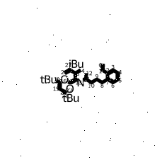 C=Cc1ccccc1CCC/C(C)=N/C(=C1/OC(C(C)(C)C)=CC(C(C)(C)C)O1)C(C)C(=C)C(C)CC